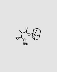 CC(C(=O)OC(C)(C)C)C(=O)OC12CC3CC(CC(C3)C1)C2